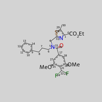 CCOC(=O)c1nc(CN(CCCc2ccccc2)C(=O)c2cc(OC)c(C(F)F)c(OC)c2)sc1C